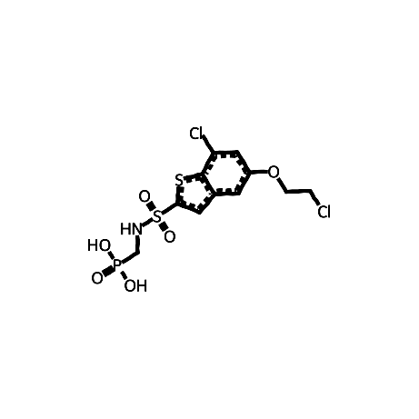 O=P(O)(O)CNS(=O)(=O)c1cc2cc(OCCCl)cc(Cl)c2s1